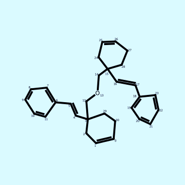 C1=CCC(/C=C/c2ccccc2)(COCC2(/C=C/c3ccccc3)CC=CCC2)CC1